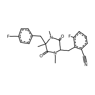 CN1C(=O)C(C)(Cc2ccc(F)cc2)N(C)C(=O)C1Cc1c(F)cccc1C#N